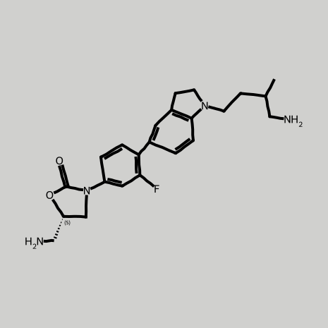 CC(CN)CCN1CCc2cc(-c3ccc(N4C[C@H](CN)OC4=O)cc3F)ccc21